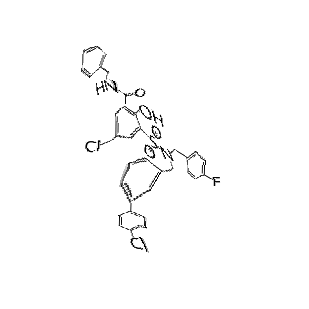 O=C(NCc1ccccc1)c1cc(Cl)cc(S(=O)(=O)N(Cc2ccc(F)cc2)Cc2cccc(-c3ccc(Cl)cc3)c2)c1O